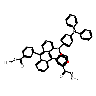 COC(=O)c1cccc(-c2c3ccccc3c(-c3cccc(C(=O)OC)c3)c3c(N(c4ccccc4)c4ccc(N(c5ccccc5)c5ccccc5)cc4)cccc23)c1